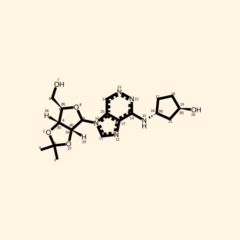 CC1(C)O[C@@H]2[C@@H](CO)OC(n3cnc4c(N[C@@H]5CC[C@@H](O)C5)nncc43)[C@@H]2O1